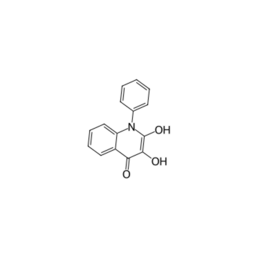 O=c1c(O)c(O)n(-c2ccccc2)c2ccccc12